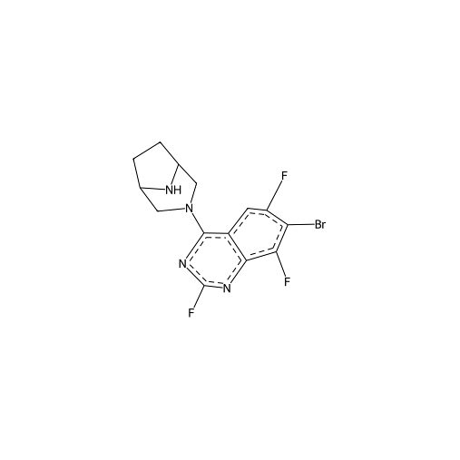 Fc1nc(N2CC3CCC(C2)N3)c2cc(F)c(Br)c(F)c2n1